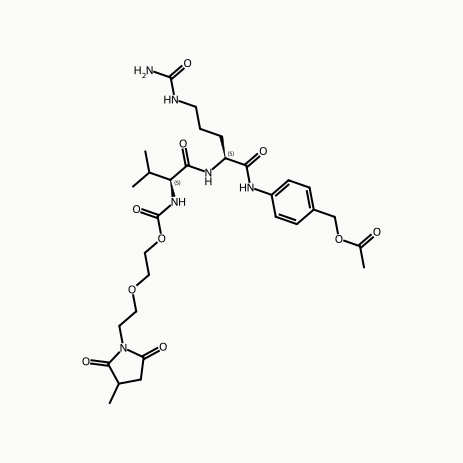 CC(=O)OCc1ccc(NC(=O)[C@H](CCCNC(N)=O)NC(=O)[C@@H](NC(=O)OCCOCCN2C(=O)CC(C)C2=O)C(C)C)cc1